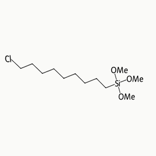 CO[Si](CCCCCCCCCCl)(OC)OC